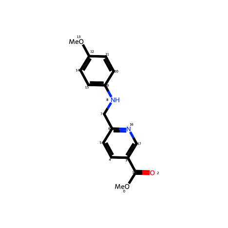 COC(=O)c1ccc(CNc2ccc(OC)cc2)nc1